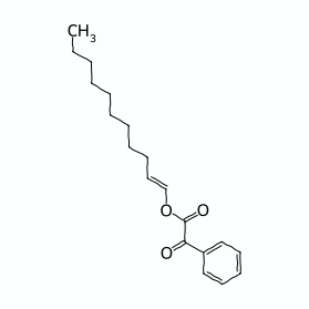 CCCCCCCCCC=COC(=O)C(=O)c1ccccc1